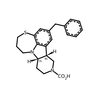 O=C(O)N1CC[C@H]2[C@@H](C1)c1cc(Cc3ccccc3)cc3c1N2CCCS3